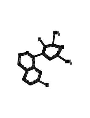 Nc1cc(-c2nccc3ccc(Cl)cc23)c(F)c(N)n1